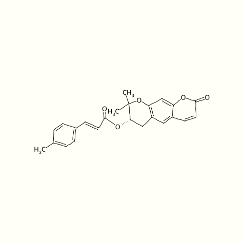 Cc1ccc(/C=C/C(=O)O[C@H]2Cc3cc4ccc(=O)oc4cc3OC2(C)C)cc1